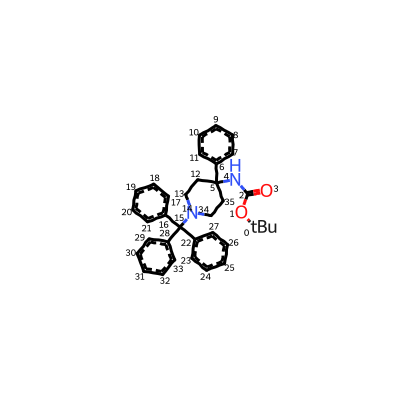 CC(C)(C)OC(=O)NC1(c2ccccc2)CCN(C(c2ccccc2)(c2ccccc2)c2ccccc2)CC1